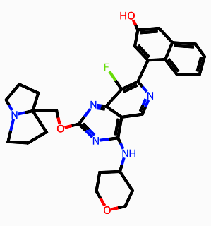 Oc1cc(-c2ncc3c(NC4CCOCC4)nc(OCC45CCCN4CCC5)nc3c2F)c2ccccc2c1